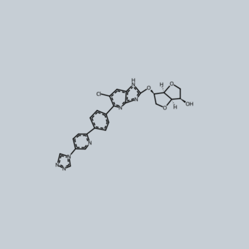 O[C@@H]1CO[C@H]2[C@@H]1OC[C@H]2Oc1nc2nc(-c3ccc(-c4ccc(-n5cnnc5)cn4)cc3)c(Cl)cc2[nH]1